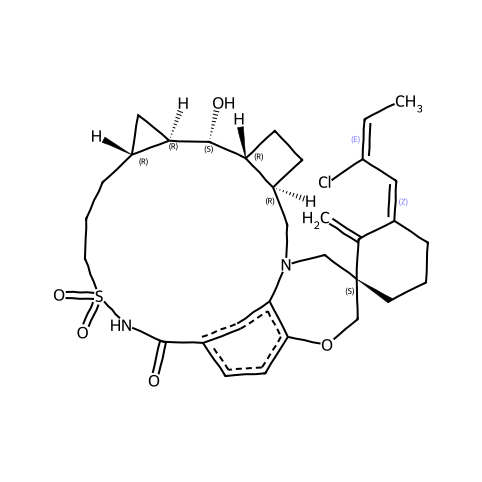 C=C1/C(=C\C(Cl)=C/C)CCC[C@]12COc1ccc3cc1N(C[C@@H]1CC[C@H]1[C@@H](O)[C@@H]1C[C@H]1CCCS(=O)(=O)NC3=O)C2